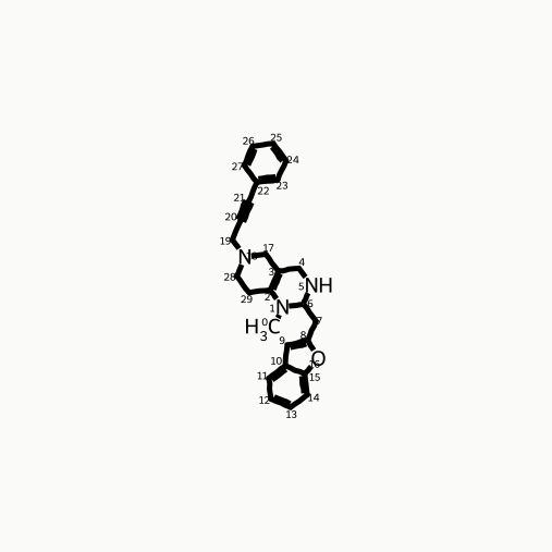 CN1C2=C(CNC1Cc1cc3ccccc3o1)CN(CC#Cc1ccccc1)CC2